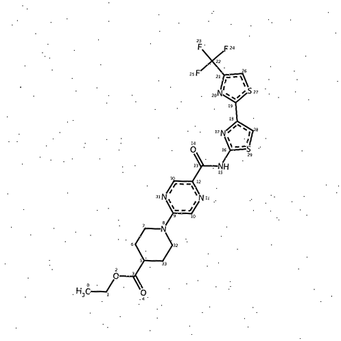 CCOC(=O)C1CCN(c2cnc(C(=O)Nc3nc(-c4nc(C(F)(F)F)cs4)cs3)cn2)CC1